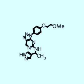 COCCOc1ccc(-n2nnc3cnc(NC(C)c4cn[nH]c4)nc32)cc1